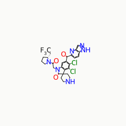 O=C(c1ccc2[nH]ncc2n1)c1cc2c(c(Cl)c1Cl)C1(CCNCC1)C(=O)N2CC(=O)N1CCC[C@@H]1CC(F)(F)F